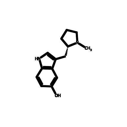 CN1CCC[C@H]1Cc1c[nH]c2ccc(O)cc12